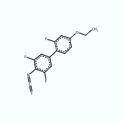 CCOc1ccc(-c2cc(F)c(N=C=S)c(F)c2)c(F)c1